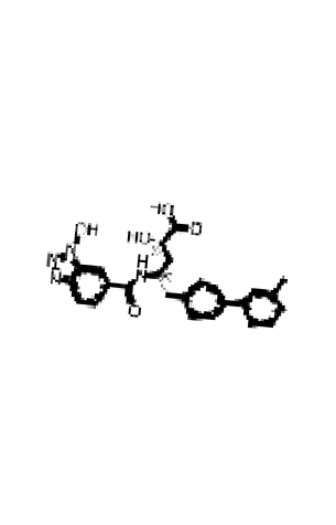 Cc1cccc(-c2ccc(C[C@@H](C[C@H](O)C(=O)O)NC(=O)c3ccc4nnn(O)c4c3)cc2)c1